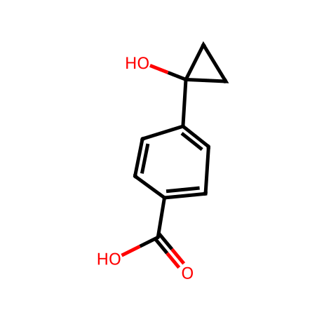 O=C(O)c1ccc(C2(O)CC2)cc1